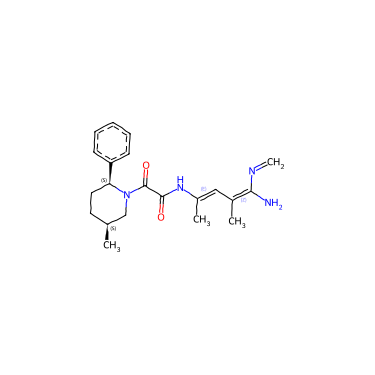 C=N/C(N)=C(C)\C=C(/C)NC(=O)C(=O)N1C[C@@H](C)CC[C@H]1c1ccccc1